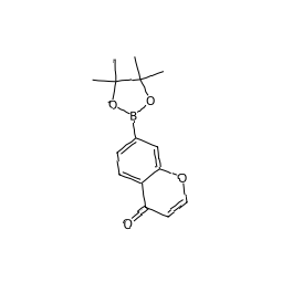 CC1(C)OB(c2ccc3c(=O)ccoc3c2)OC1(C)C